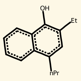 CCCc1cc(CC)c(O)c2ccccc12